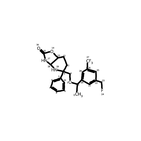 CC(OCC1(c2ccccc2)CCC2OC(=O)NC2N1)c1cc(CF)cc(C(F)(F)F)c1